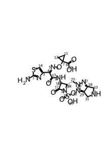 Nc1nc(C(=NOC2(C(=O)O)CC2)C(=O)N[C@@H]2C(=O)N(S(=O)(=O)O)[C@H]2Cn2nc3c(n2)CNC3)cs1